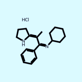 CC(C(=NC1CCCCC1)c1ccccc1)=C1CCCN1.Cl